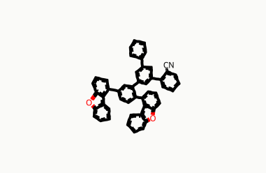 N#Cc1ccccc1-c1cc(-c2ccccc2)cc(-c2cc(-c3cccc4oc5ccccc5c34)ccc2-c2cccc3oc4ccccc4c23)c1